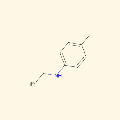 Cc1ccc(NCC(C)C)cc1